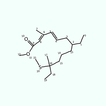 CCC(CC=CC(C)=CC(=O)OC)CCCC(C)(CC)SC